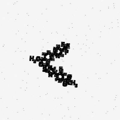 C[C@H](Oc1nn2cc(-c3ccc(S(C)(=O)=O)cc3F)nc2s1)C1CCN(c2ncc(C(F)(F)F)cn2)CC1